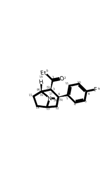 CCC(=O)[C@H]1[C@@H](c2ccc(F)cc2)CC2CC[C@H]1N2C